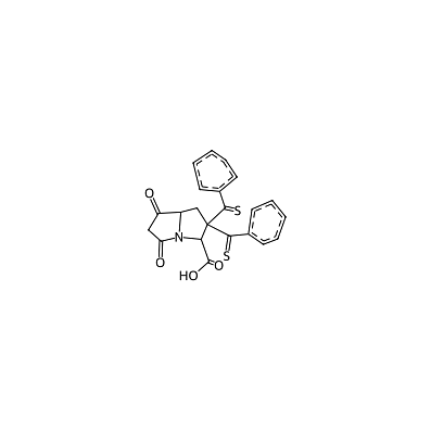 O=C1CC(=O)N2C1CC(C(=S)c1ccccc1)(C(=S)c1ccccc1)C2C(=O)O